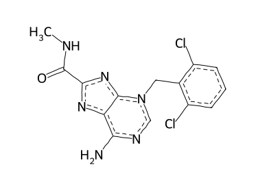 CNC(=O)c1nc2c(N)ncn(Cc3c(Cl)cccc3Cl)c-2n1